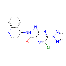 CN1CCC(NC(=O)c2nc(Cl)c(-n3nccn3)nc2N)c2ccccc21